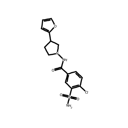 NS(=O)(=O)c1cc(C(=O)NN2CCC(c3ccco3)C2)ccc1Cl